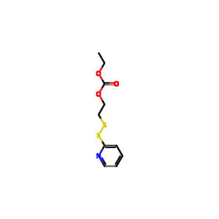 CCOC(=O)OCCSSc1ccccn1